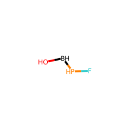 OBPF